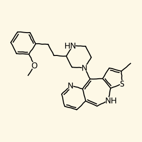 COc1ccccc1CCC1CN(C2=c3ncccc3=CNc3sc(C)cc32)CCN1